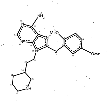 COc1ccc(OC)c(Sc2nc3c(N)ncnc3n2CCC2CCCNC2)c1